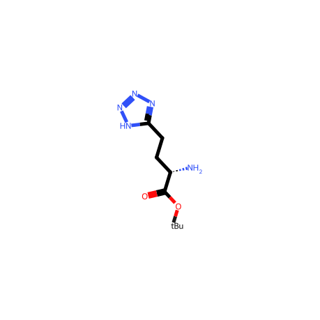 CC(C)(C)OC(=O)[C@@H](N)CCc1nnn[nH]1